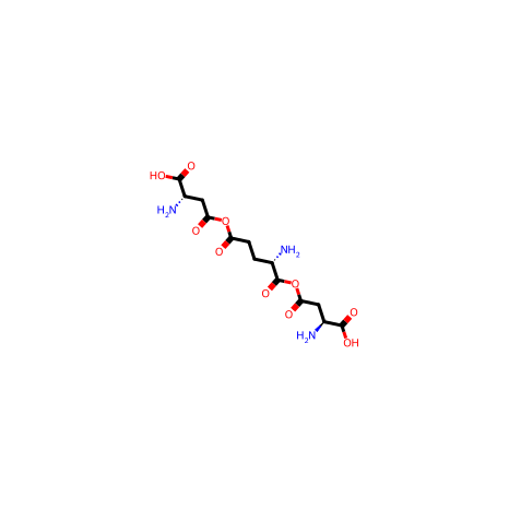 N[C@@H](CC(=O)OC(=O)CC[C@H](N)C(=O)OC(=O)C[C@H](N)C(=O)O)C(=O)O